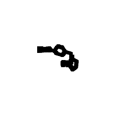 COc1ccc(Cn2ccc[n+]2[O-])cc1